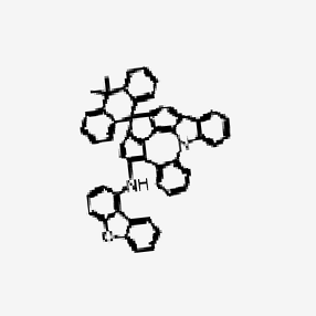 CC1(C)c2ccccc2C2(c3ccccc31)c1ccc(Nc3cccc4oc5ccccc5c34)c3c1-c1c2ccc2c4ccccc4n(c12)-c1ccccc1-3